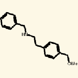 COCc1ccc(CCNCc2ccccc2)cc1